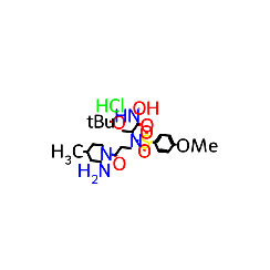 COc1ccc(S(=O)(=O)N(CCC(=O)N2CCC(C)CC2N)C(COC(C)(C)C)C(=O)NO)cc1.Cl